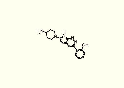 NC1CCN(c2cc3cc(-c4ccccc4O)nnc3[nH]2)CC1